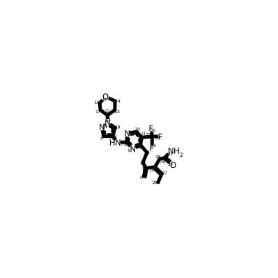 C=C(CCc1nc(Nc2cnn(C3CCOCC3)c2)ncc1C(F)(F)F)/C(=C\C)CC(N)=O